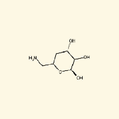 NCC1C[C@H](O)C(O)[C@@H](O)O1